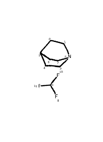 C1CN2CCC1CC2.FC(F)F